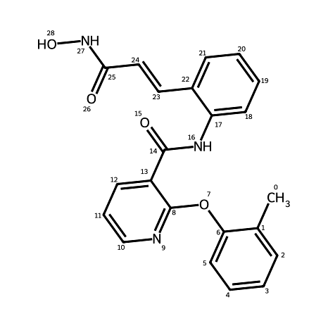 Cc1ccccc1Oc1ncccc1C(=O)Nc1ccccc1C=CC(=O)NO